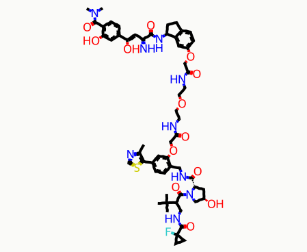 Cc1ncsc1-c1ccc(CNC(=O)[C@@H]2C[C@@H](O)CN2C(=O)C(CNC(=O)C2(F)CC2)C(C)(C)C)c(OCC(=O)NCCOCCNC(=O)COc2ccc3c(c2)C(NC(=O)C(=N)/C=C(\O)c2ccc(C(=O)N(C)C)c(O)c2)CC3)c1